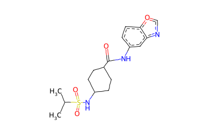 CC(C)S(=O)(=O)NC1CCC(C(=O)Nc2ccc3ocnc3c2)CC1